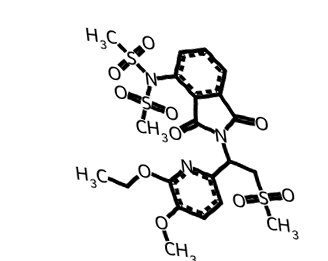 CCOc1nc(C(CS(C)(=O)=O)N2C(=O)c3cccc(N(S(C)(=O)=O)S(C)(=O)=O)c3C2=O)ccc1OC